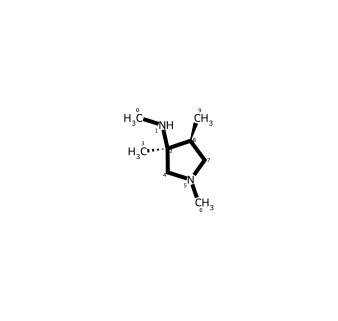 CN[C@]1(C)CN(C)C[C@@H]1C